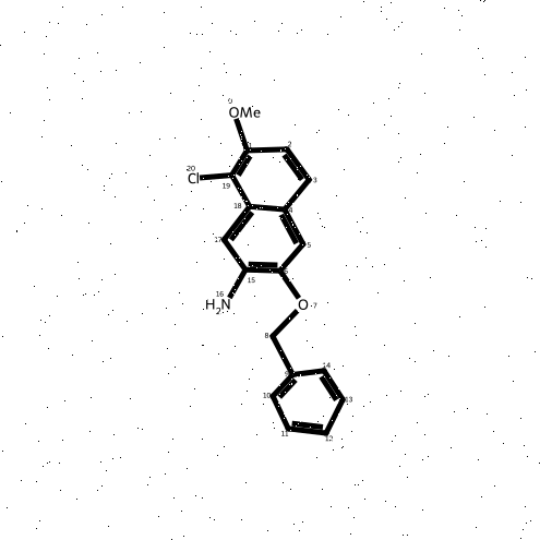 COc1ccc2cc(OCc3ccccc3)c(N)cc2c1Cl